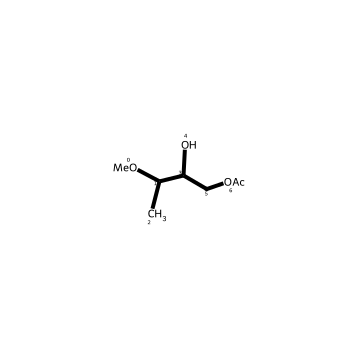 COC(C)C(O)COC(C)=O